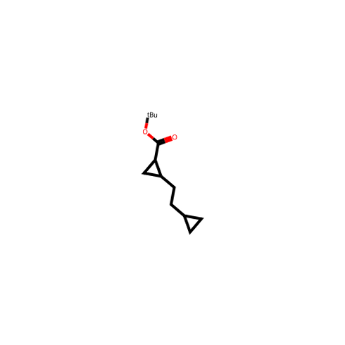 CC(C)(C)OC(=O)C1CC1CCC1CC1